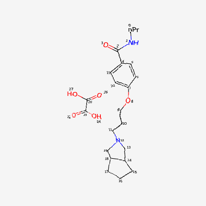 CCCNC(=O)c1ccc(OCCCN2CC3CCCC3C2)cc1.O=C(O)C(=O)O